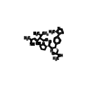 CNC(=O)C[C@H](NC(=O)[C@@H]1CCCN1C(=O)[C@@H](/C(O)=C/C(C)=N)C(C)C)c1ccc(-c2scnc2C)cc1